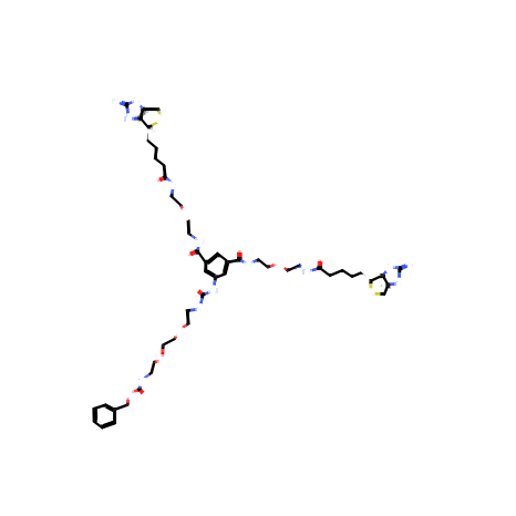 N=C1N[C@H]2[C@H](CS[C@H]2CCCCC(=O)NCCOCCNC(=O)c2cc(NC(=O)NCCOCCOCCNC(=O)OCc3ccccc3)cc(C(=O)NCCOCCNC(=O)CCCC[C@@H]3SC[C@@H]4NC(=N)N[C@@H]43)c2)N1